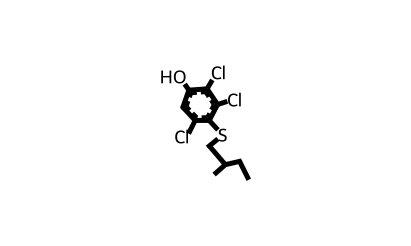 CCC(C)CSc1c(Cl)cc(O)c(Cl)c1Cl